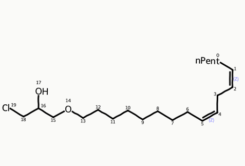 CCCCC/C=C\C/C=C\CCCCCCCCOCC(O)CCl